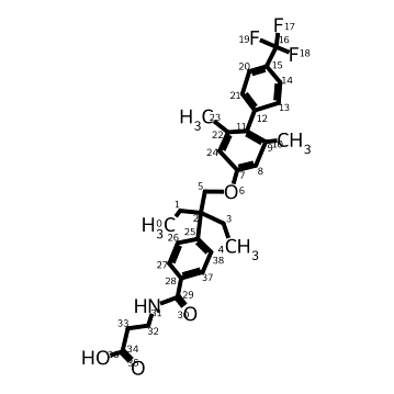 CCC(CC)(COc1cc(C)c(-c2ccc(C(F)(F)F)cc2)c(C)c1)c1ccc(C(=O)NCCC(=O)O)cc1